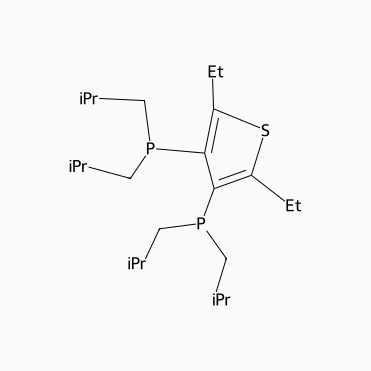 CCc1sc(CC)c(P(CC(C)C)CC(C)C)c1P(CC(C)C)CC(C)C